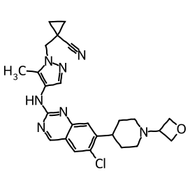 Cc1c(Nc2ncc3cc(Cl)c(C4CCN(C5COC5)CC4)cc3n2)cnn1CC1(C#N)CC1